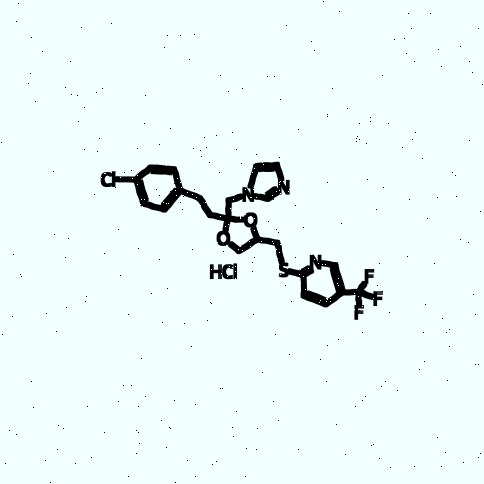 Cl.FC(F)(F)c1ccc(SCC2COC(CCc3ccc(Cl)cc3)(Cn3ccnc3)O2)nc1